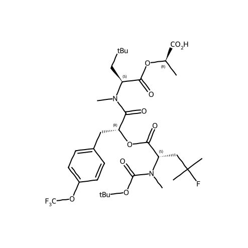 C[C@@H](OC(=O)[C@H](CC(C)(C)C)N(C)C(=O)[C@@H](Cc1ccc(OC(F)(F)F)cc1)OC(=O)[C@H](CC(C)(C)F)N(C)C(=O)OC(C)(C)C)C(=O)O